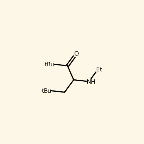 CCNC(CC(C)(C)C)C(=O)C(C)(C)C